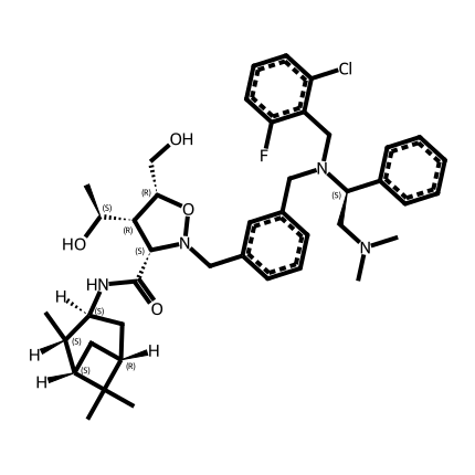 C[C@@H]1[C@@H](NC(=O)[C@@H]2[C@H]([C@H](C)O)[C@H](CO)ON2Cc2cccc(CN(Cc3c(F)cccc3Cl)[C@H](CN(C)C)c3ccccc3)c2)C[C@H]2C[C@@H]1C2(C)C